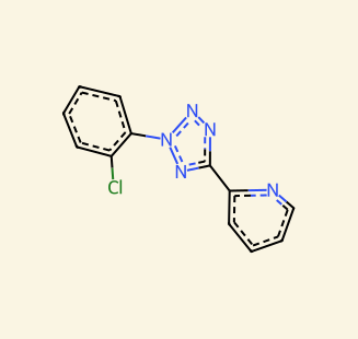 Clc1ccccc1-n1nnc(-c2ccccn2)n1